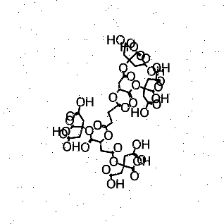 O=C(O)CC(CC(=O)O)(OC(=O)CC(OC(=O)CCC(=O)OC(CC(=O)OC(CC(=O)O)(CC(=O)O)C(=O)O)C(=O)OC(CC(=O)O)(CC(=O)O)C(=O)O)C(=O)OC(CC(=O)O)(CC(=O)O)C(=O)O)C(=O)O